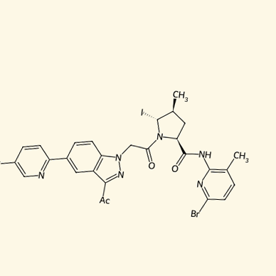 CC(=O)c1nn(CC(=O)N2[C@H](I)[C@@H](C)C[C@H]2C(=O)Nc2nc(Br)ccc2C)c2ccc(-c3ccc(C)cn3)cc12